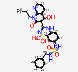 CC(C)CCn1c(=O)c(C2=NS(O)(O)c3cc(NS(=O)(=O)NCc4ccccc4)ccc3N2)c(O)c2cccnc21